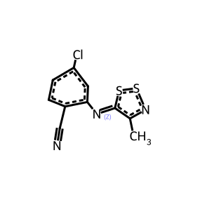 Cc1nss/c1=N\c1cc(Cl)ccc1C#N